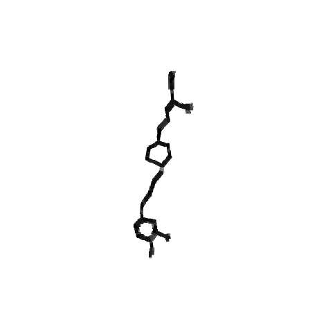 N#CC(F)=CC=C[C@H]1CC[C@H](CCCCc2ccc(F)c(F)c2)CC1